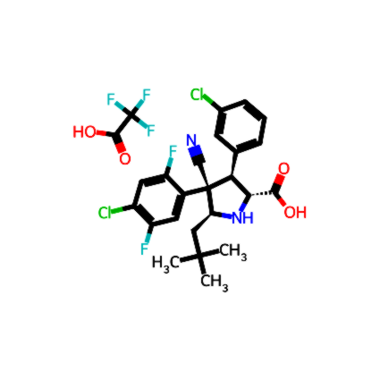 CC(C)(C)C[C@@H]1N[C@@H](C(=O)O)[C@H](c2cccc(Cl)c2)[C@@]1(C#N)c1cc(F)c(Cl)cc1F.O=C(O)C(F)(F)F